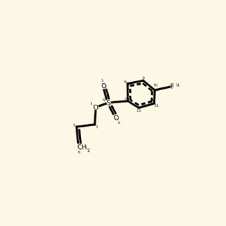 C=CCOS(=O)(=O)c1ccc(F)cc1